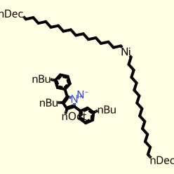 CCCCCCCCC1=C(c2cccc(CCCC)c2)[N+](=[N-])C(c2cccc(CCCC)c2)=C1CCCC.CCCCCCCCCCCCCCCCCCCCCCCCC[CH2][Ni][CH2]CCCCCCCCCCCCCCCCCCCCCCCCC